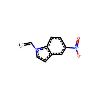 C=Cn1ccc2cc([N+](=O)[O-])ccc21